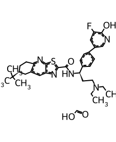 CCN(CC)CC[C@@H](NC(=O)c1nc2cc3c(nc2s1)CC[C@H](C(C)(C)C)C3)c1ccc(-c2cnc(O)c(F)c2)cc1.O=CO